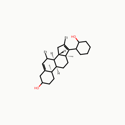 CCC1=C(C2CCCCC2O)[C@@]2(C)CC[C@@H]3[C@@H](C(CC)C=C4CC(O)CC[C@@]43C)[C@@H]2C1